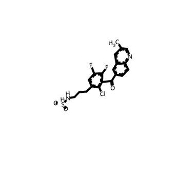 Cc1cnc2ccc(C(=O)c3c(F)c(F)cc(CCCN[SH](=O)=O)c3Cl)cc2c1